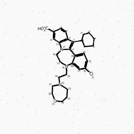 O=C(O)c1ccc2c(C3CCCCC3)c3n(c2c1)CCN(CCN1CCCOCC1)c1cc(Cl)ccc1-3